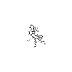 CCCCO[C@H]1[C@H](OCCCC)[C@@H](CO[Si](c2ccccc2)(c2ccccc2)C(C)(C)C)OC(O)(C=O)[C@@H]1OCCCC